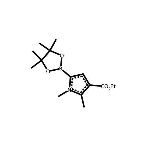 CCOC(=O)c1cc(B2OC(C)(C)C(C)(C)O2)n(C)c1C